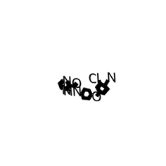 N#Cc1ccc(OC2CCC(NC(=O)c3ncccn3)CC2)cc1Cl